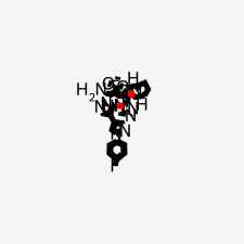 CS(=O)(=O)c1c(C2C[C@H]3CC[C@@H](C2)N3C(=O)c2nnc[nH]2)nc2c(-c3cnn(-c4ccc(F)cc4)c3)cnn2c1N